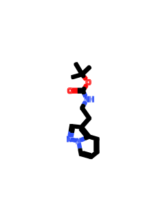 CC(C)(C)OC(=O)NCCc1cnn2ccccc12